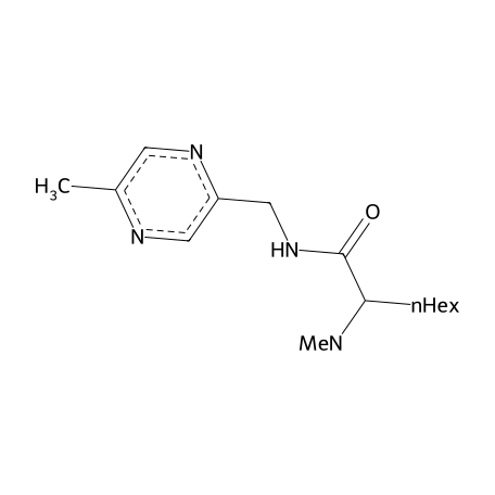 CCCCCCC(NC)C(=O)NCc1cnc(C)cn1